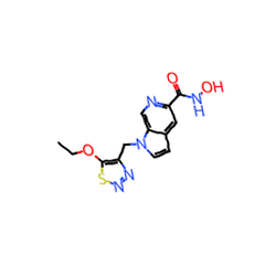 CCOc1snnc1Cn1ccc2cc(C(=O)NO)ncc21